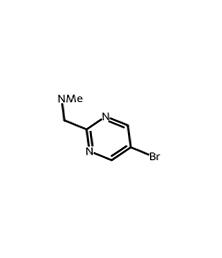 CNCc1ncc(Br)cn1